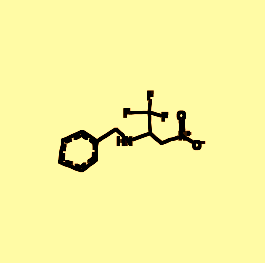 O=[N+]([O-])CC(NCc1ccccc1)C(F)(F)F